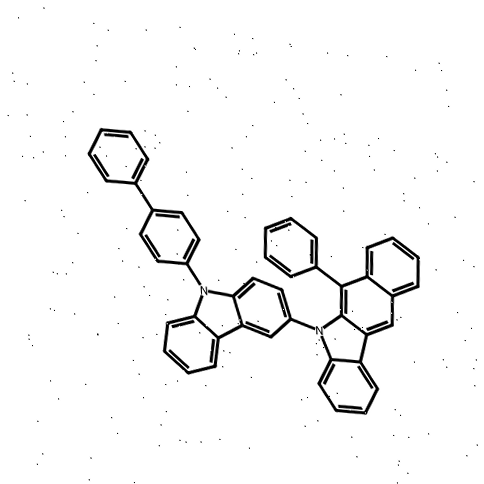 c1ccc(-c2ccc(-n3c4ccccc4c4cc(-n5c6ccccc6c6cc7ccccc7c(-c7ccccc7)c65)ccc43)cc2)cc1